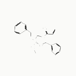 C=CC(=O)OC[Si](OC)(OCc1ccccc1)OCc1ccccc1